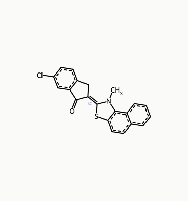 CN1/C(=C2\Cc3ccc(Cl)cc3C2=O)Sc2ccc3ccccc3c21